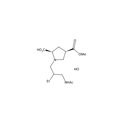 CCC(CNC(C)=O)CN1C[C@H](C(=O)OC)C[C@@H]1C(=O)O.Cl